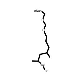 CCCCCCCCCCOCOCCCC(C)C[CH](C)[Mg][Br]